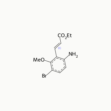 CCOC(=O)/C=C/c1c(N)ccc(Br)c1OC